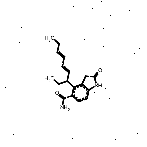 CCC=CC=CC(CC)c1c(C(N)=O)ccc2c1CC(=O)N2